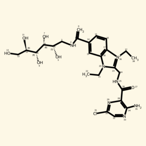 C=C(NC[C@H](O)[C@@H](O)[C@H](O)[C@H](O)CO)c1ccc2c(c1)n(CC)c(CNC(=O)c1nc(Cl)cnc1N)[n+]2CC